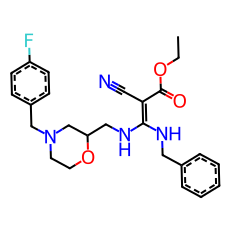 CCOC(=O)C(C#N)=C(NCc1ccccc1)NCC1CN(Cc2ccc(F)cc2)CCO1